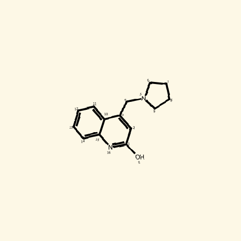 Oc1cc(CN2CCCC2)c2ccccc2n1